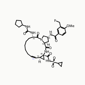 COc1ccc(C(=O)N[C@@H]2C[C@H]3C(=O)N[C@]4(C(=O)NS(=O)(=O)C5CC5)C[C@H]4/C=C\CCCCC[C@H](NC(=O)NC4CCCC4)C(=O)N3C2)cc1CF